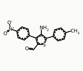 Cc1ccc(-c2sc(C=O)c(-c3ccc([N+](=O)[O-])cc3)c2N)cc1